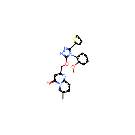 COc1ccccc1-n1c(OCc2cc(=O)n3cc(C)ccc3n2)nnc1-c1cccs1